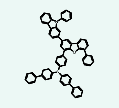 C1=C(c2ccccc2)CCC(N(c2ccc(-c3ccccc3)cc2)c2ccc(-c3cc(-c4ccc5c6ccccc6n(-c6ccccc6)c5c4)cc4c3oc3c(-c5ccccc5)cccc34)cc2)=C1